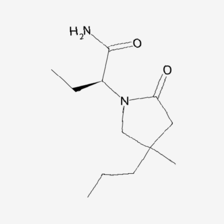 CCCC1(C)CC(=O)N([C@@H](CC)C(N)=O)C1